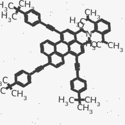 CC(C)c1cccc(C(C)C)c1N1C(=O)c2cc(C#Cc3ccc(C(C)(C)C)cc3)c3c4cccc5c(C#Cc6ccc(C(C)(C)C)cc6)ccc(c6c(C#Cc7ccc(C(C)(C)C)cc7)cc(c2c36)C1=O)c54